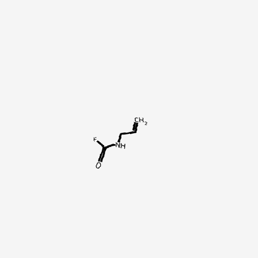 C=CCNC(=O)F